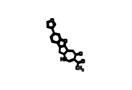 CC(=O)C1=CNC2Cc3c(oc4cc(-c5ccoc5)ccc34)C2=CC1=O